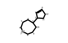 C1=CC(C2CCC[N]CCC2)CC1